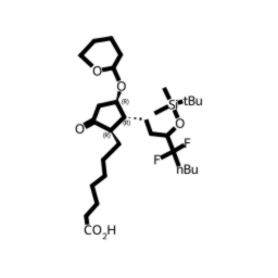 CCCCC(F)(F)C(CC[C@H]1[C@H](OC2CCCCO2)CC(=O)[C@@H]1CCCCCCC(=O)O)O[Si](C)(C)C(C)(C)C